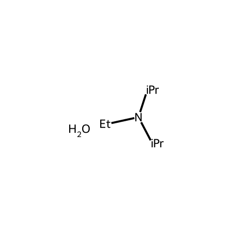 CCN(C(C)C)C(C)C.O